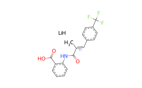 C/C(=C\c1ccc(C(F)(F)F)cc1)C(=O)Nc1ccccc1C(=O)O.[LiH]